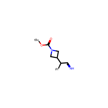 CC(C)C(C=N)C1CN(C(=O)OC(C)(C)C)C1